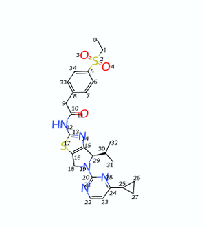 CCS(=O)(=O)c1ccc(CC(=O)Nc2nc3c(s2)CN(c2nccc(C4CC4)n2)[C@@H]3C(C)C)cc1